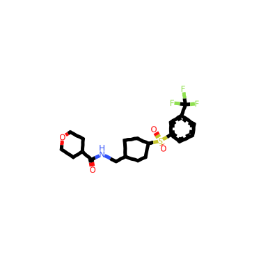 O=C(NCC1CCC(S(=O)(=O)c2cccc(C(F)(F)F)c2)CC1)C1CCOCC1